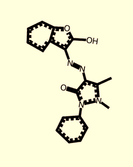 Cc1c(N=Nc2c(O)oc3ccccc23)c(=O)n(-c2ccccc2)n1C